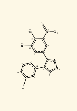 O=[N+]([O-])c1cc(-c2nnsc2-c2ccnc(F)c2)cc(O)c1O